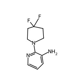 Nc1cccnc1N1CCC(F)(F)CC1